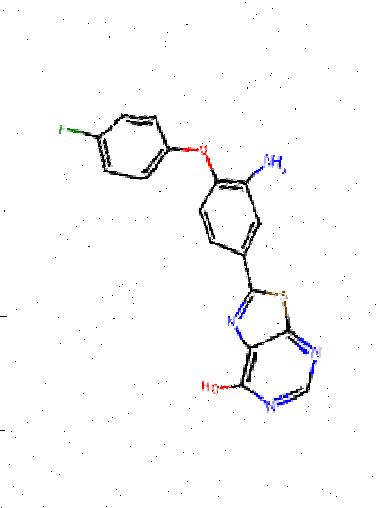 Nc1cc(-c2nc3c(O)ncnc3s2)ccc1Oc1ccc(F)cc1